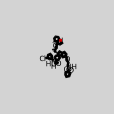 C[C@@H](COc1ccnc2c1[C@H](C)CCC2)C[C@H]1Cc2ccc(OCCCNS(=O)(=O)c3ccccc3)cc2C12CCC(Nc1cccc(Cl)c1)(C(=O)O)CC2